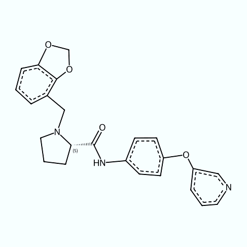 O=C(Nc1ccc(Oc2cccnc2)cc1)[C@@H]1CCCN1Cc1cccc2c1OCO2